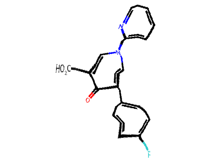 O=C(O)c1cn(-c2ccccn2)cc(-c2ccc(F)cc2)c1=O